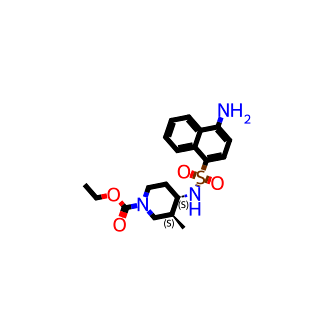 CCOC(=O)N1CC[C@H](NS(=O)(=O)c2ccc(N)c3ccccc23)[C@@H](C)C1